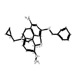 Bc1cc(OCc2ccccc2)c2c3c1CC1C4=CC=C(OC)[C@@H](O2)[C@]43CCN1CC1CC1